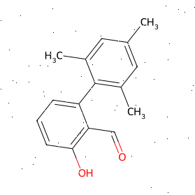 Cc1cc(C)c(-c2cccc(O)c2C=O)c(C)c1